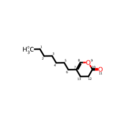 CCCCCCCC1=COC(=O)CC1